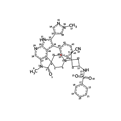 CN1C(=O)C2(CCN(C3(CC#N)CC(NS(=O)(=O)c4ccccc4)C3)CC2)c2c1cnc1[nH]c(-c3cnn(C)c3)c(-c3ccccc3)c21